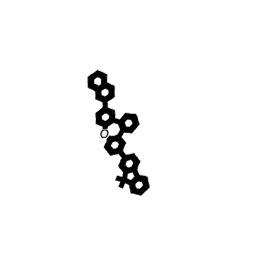 CC1(C)c2ccccc2-c2ccc(-c3ccc4c(c3)-c3ccccc3-c3cc(-c5ccc6ccccc6c5)ccc3O4)cc21